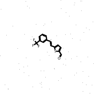 O=Cc1ccc(C=Cc2cccc(C(F)(F)F)c2)s1